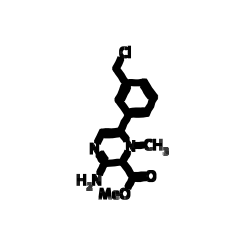 COC(=O)C1C(N)=NC=C(c2cccc(CCl)c2)N1C